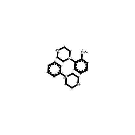 COc1ccccc1N1CCNCC1.c1ccc(N2CCNCC2)cc1